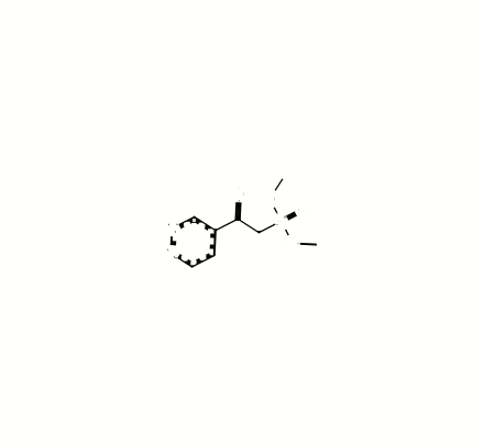 COP(=O)(CC(=O)c1ccnnc1)OC